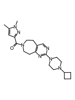 Cc1cc(C(=O)N2CCc3cnc(N4CCN(C5CCC5)CC4)nc3CC2)nn1C